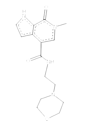 Cn1cc(C(=O)NCCN2CCOCC2)c2cc[nH]c2c1=O